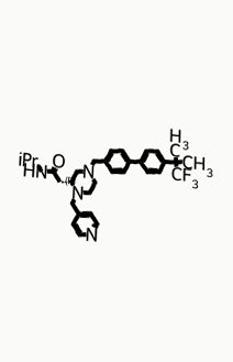 CC(C)NC(=O)C[C@@H]1CN(Cc2ccc(-c3ccc(C(C)(C)C(F)(F)F)cc3)cc2)CCN1Cc1ccncc1